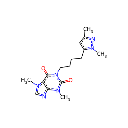 Cc1cc(CCCCn2c(=O)c3c(ncn3C)n(C)c2=O)n(C)n1